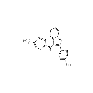 O=C(O)c1ccc(Nc2c(-c3ccc(O)cc3)nc3ccccn23)cc1